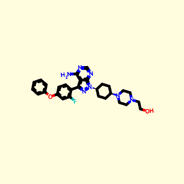 Nc1ncnc2c1c(-c1ccc(Oc3ccccc3)cc1F)nn2[C@H]1CC[C@H](N2CCN(CCO)CC2)CC1